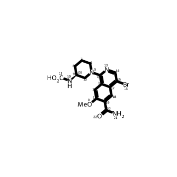 COc1cc2c(N3CCC[C@H](NC(=O)O)C3)ncc(Br)c2cc1C(N)=O